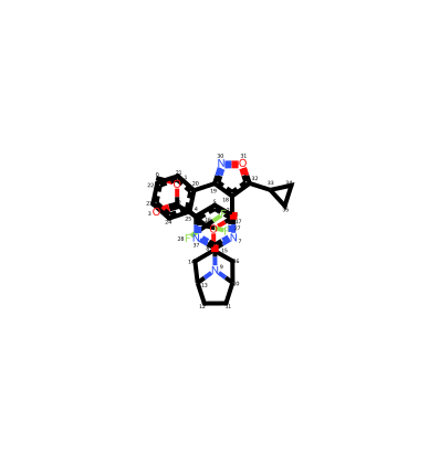 COC(=O)c1ccnc(N2C3CCC2CC(OCc2c(-c4ccccc4C(F)(F)F)noc2C2CC2)C3)n1